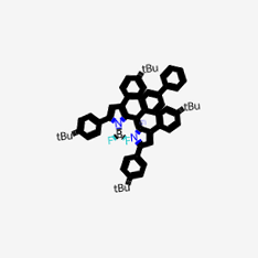 CC(C)(C)c1ccc(C2=CC(c3ccc(C(C)(C)C)cc3)=N/C2=C(/c2ccc(-c3ccccc3)cc2)c2c(-c3ccc(C(C)(C)C)cc3)cc(-c3ccc(C(C)(C)C)cc3)n2B(F)F)cc1